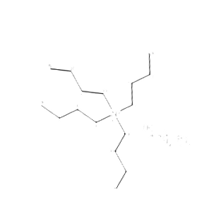 CCCC[N+](CCCC)(CCCC)CCCC.P.[OH-].[SiH4]